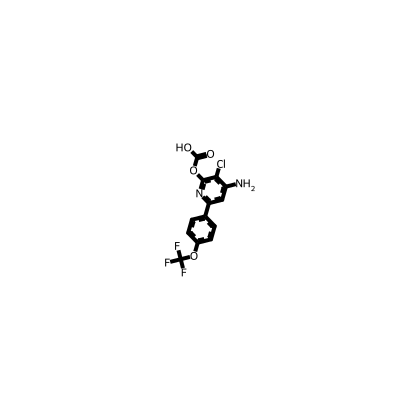 Nc1cc(-c2ccc(OC(F)(F)F)cc2)nc(OC(=O)O)c1Cl